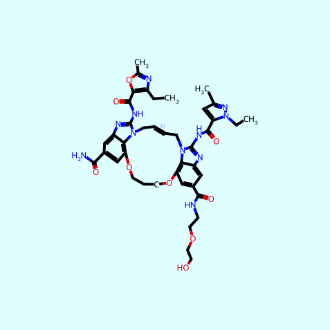 CCc1nc(C)oc1C(=O)Nc1nc2cc(C(N)=O)cc3c2n1C/C=C/Cn1c(NC(=O)c2cc(C)nn2CC)nc2cc(C(=O)NCCOCCO)cc(c21)OCCCO3